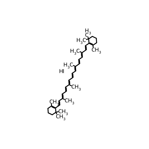 CC1=C(/C=C/C(C)=C/C=C/C(C)=C/C=C/C=C(C)/C=C/C=C(C)/C=C/C2=C(C)CCCC2(C)C)C(C)(C)CCC1.I